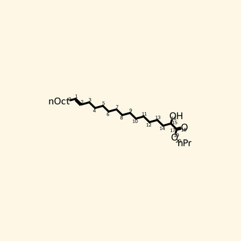 CCCCCCCCC=CCCCCCCCCCCCCC(O)C(=O)OCCC